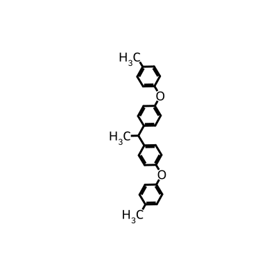 Cc1ccc(Oc2ccc(C(C)c3ccc(Oc4ccc(C)cc4)cc3)cc2)cc1